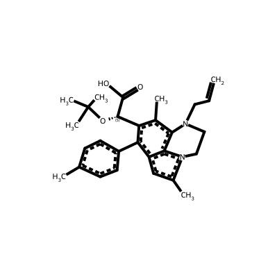 C=CCN1CCn2c(C)cc3c(-c4ccc(C)cc4)c([C@H](OC(C)(C)C)C(=O)O)c(C)c1c32